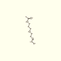 CC(=O)OCCCOCCOSI